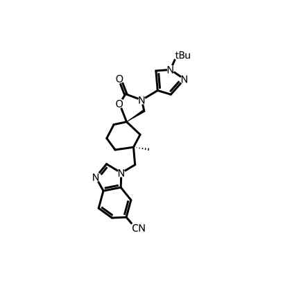 CC(C)(C)n1cc(N2C[C@@]3(CCC[C@](C)(Cn4cnc5ccc(C#N)cc54)C3)OC2=O)cn1